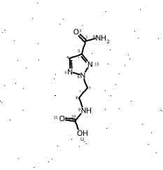 NC(=O)c1cnn(CCNC(=O)O)n1